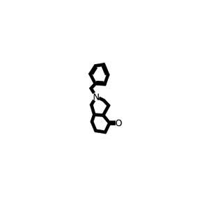 O=C1CCCC2CN(Cc3ccccc3)CCC12